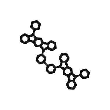 c1ccc(-n2c3ccccc3c3cc4c(cc32)c2ccccc2n4-c2cccc(-c3cccc(-n4c5ccccc5c5cc6c(cc54)c4ccccc4n6-c4ccccc4)c3)c2)cc1